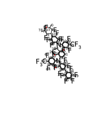 CC(F)C(F)C(c1c(F)c(F)c(N(c2c(F)c(F)c(C(F)(F)F)c(F)c2F)C2CC=Cc3c2cccc3N(c2c(F)c(F)c(-c3c(F)c(F)c(F)c(F)c3F)c(F)c2F)c2c(F)c(F)c(C(F)(F)F)c(F)c2F)c(F)c1F)C(F)C(C)F